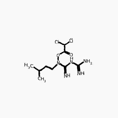 CC(C)CCN(OC(=O)C(Cl)Cl)C(=N)NC(=N)N